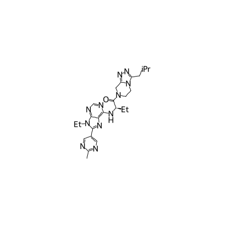 CC[C@@H](Nc1ncnc2c1nc(-c1cnc(C)nc1)n2CC)C(=O)N1CCn2c(CC(C)C)nnc2C1